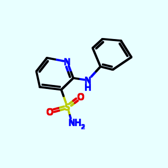 NS(=O)(=O)c1cccnc1Nc1ccccc1